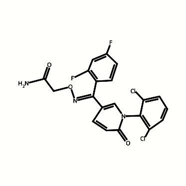 NC(=O)CON=C(c1ccc(=O)n(-c2c(Cl)cccc2Cl)c1)c1ccc(F)cc1F